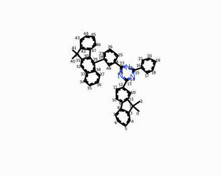 CC1(C)c2ccccc2-c2ccc(-c3nc(-c4ccccc4)nc(-c4cccc(-c5c6c(cc7ccccc57)C(C)(C)c5ccccc5-6)c4)n3)cc21